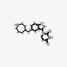 O=c1ccn(-c2noc3ccc(CC4CCCNCC4)cc23)c(=O)[nH]1